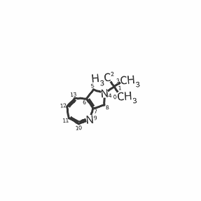 CC(C)(C)N1CC2=C(C1)N=C=CC=C2